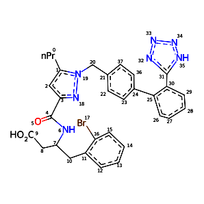 CCCc1cc(C(=O)NC(CC(=O)O)Cc2ccccc2Br)nn1Cc1ccc(-c2ccccc2-c2nnn[nH]2)cc1